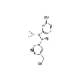 BrCc1cncc(-c2nc3ccc(Br)cc3n2C2CC2)c1